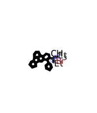 CC/C=C(C1=C(c2ccccc2)c2cc3c4c(cccc4c2CC1)-c1ccccc1-3)\C(C)=C(/Br)CC